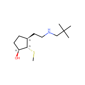 CS[C@H]1[C@H](CCNCC(C)(C)C)CC[C@@H]1O